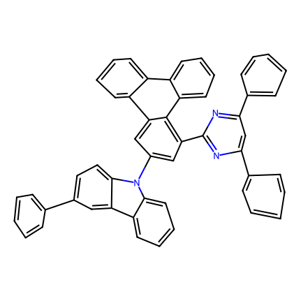 c1ccc(-c2ccc3c(c2)c2ccccc2n3-c2cc(-c3nc(-c4ccccc4)cc(-c4ccccc4)n3)c3c4ccccc4c4ccccc4c3c2)cc1